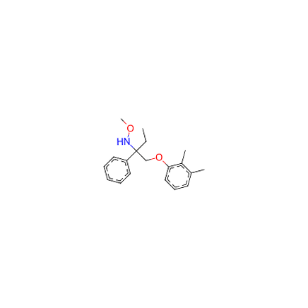 CCC(COc1cccc(C)c1C)(NOC)c1ccccc1